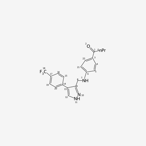 CCCC(=O)c1ccc(NCc2n[nH]cc2-c2ccc(C(F)(F)F)cc2)cc1